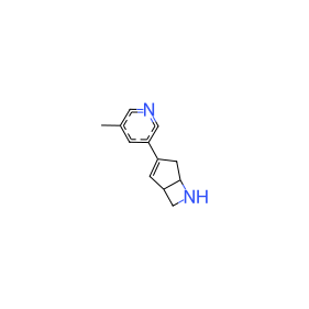 Cc1cncc(C2=CC3CNC3C2)c1